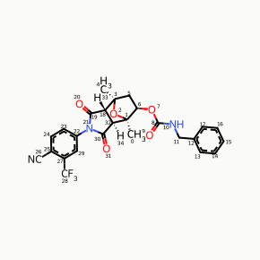 C[C@]12O[C@](C)(C[C@H]1OC(=O)NCc1ccccc1)[C@H]1C(=O)N(c3ccc(C#N)c(C(F)(F)F)c3)C(=O)[C@@H]12